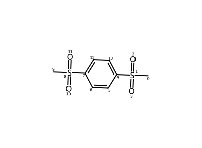 CS(=O)(=O)c1ccc(S(C)(=O)=O)cc1